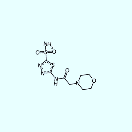 NS(=O)(=O)c1nnc(NC(=O)CN2CCOCC2)s1